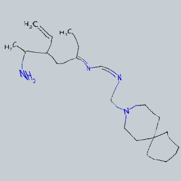 C=CC(C/C(CC)=N/C=N\CN1CCC2(CCCC2)CC1)C(C)N